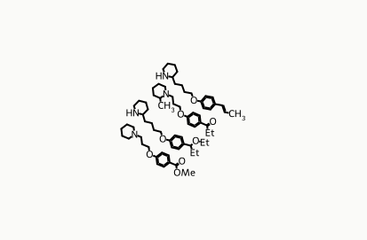 CC=Cc1ccc(OCCCCC2CCCCN2)cc1.CCC(=O)c1ccc(OCCCN2CCCCC2C)cc1.CCOC(CC)c1ccc(OCCCCC2CCCCN2)cc1.COC(=O)c1ccc(OCCCN2CCCCC2)cc1